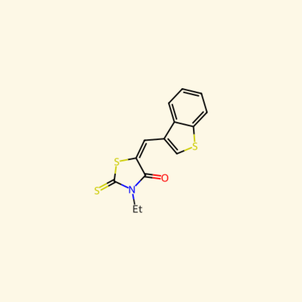 CCN1C(=O)C(=Cc2csc3ccccc23)SC1=S